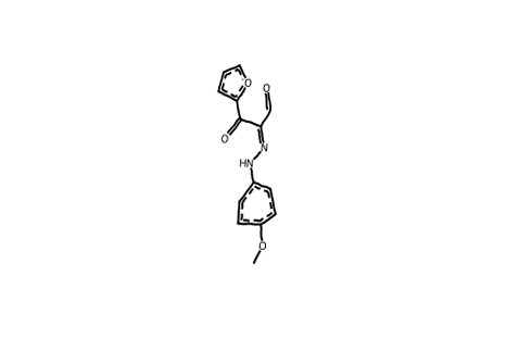 COc1ccc(NN=C(C=O)C(=O)c2ccco2)cc1